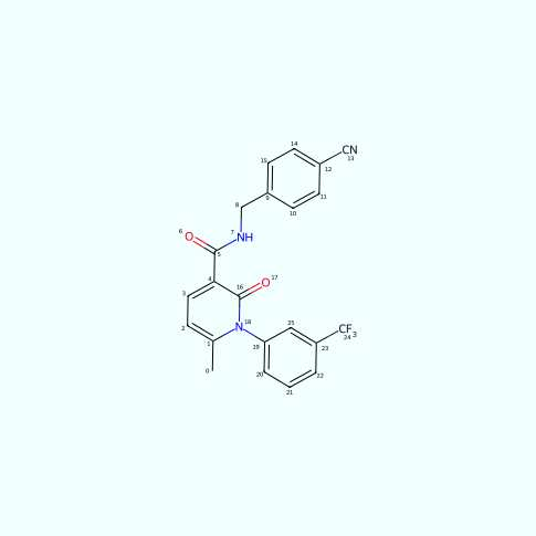 Cc1ccc(C(=O)NCc2ccc(C#N)cc2)c(=O)n1-c1cccc(C(F)(F)F)c1